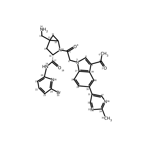 CC(=O)c1cn(CC(=O)N2C3CC3(CN)C[C@H]2C(=O)Nc2cccc(Br)n2)c2ccc(-c3cnc(C)nc3)cc12